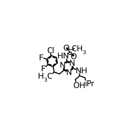 CC(C)CC(CO)Nc1nc(CC(C)c2ccc(Cl)c(F)c2F)nc(NS(C)(=O)=O)n1